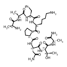 CC(C)C[C@H](NC(=O)[C@H](C)NC(=O)[C@H](C)N)C(=O)N[C@@H](CCCCN)C(=O)N1CCC[C@H]1C(=O)N[C@@H](CC(N)=O)C(=O)N[C@H](C(=O)N[C@@H](C)C(N)=O)[C@@H](C)O